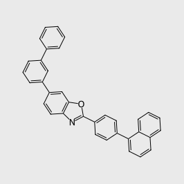 c1ccc(-c2cccc(-c3ccc4nc(-c5ccc(-c6cccc7ccccc67)cc5)oc4c3)c2)cc1